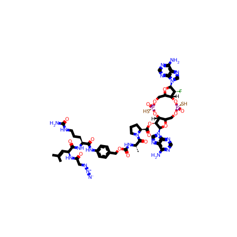 CC(C)=C[C@H](NC(=O)CN=[N+]=[N-])C(=O)N[C@@H](CCCNC(N)=O)C(=O)Nc1ccc(COC(=O)N[C@@H](C)C(=O)N2CCC[C@H]2C(=O)O[C@@H]2[C@@H]3O[P@](=O)(S)OCC4O[C@@H](n5cnc6c(N)ncnc65)[C@H](F)[C@@H]4O[P@](=O)(S)OCC3O[C@H]2n2cnc3c(N)ncnc32)cc1